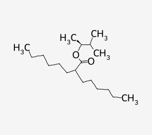 CCCCCCC(CCCCCC)C(=O)O[C@@H](C)C(C)C